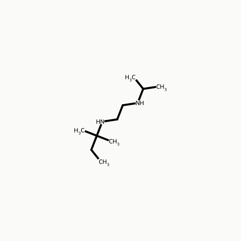 CCC(C)(C)NCCNC(C)C